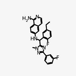 CCc1ccc(F)c(C(Nc2ccc3c(N)nccc3c2)c2nc(-c3cccc(F)c3)nn2C)c1